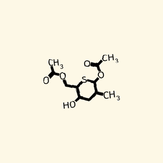 CC(=O)OCC1SC(OC(C)=O)C(C)CC1O